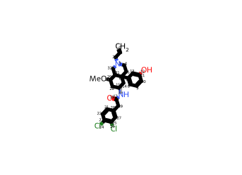 C=CCN1CCC2(c3cccc(O)c3)C[C@@H](NC(=O)Cc3ccc(Cl)c(Cl)c3)CC(OC)C2C1